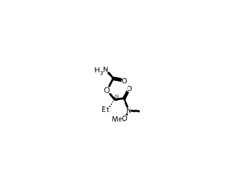 CC[C@H](OC(N)=O)C(=O)N(C)OC